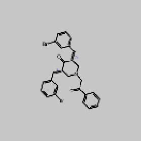 O=C1/C(=C\c2cccc(Br)c2)CN(CC(=O)c2ccccc2)C/C1=C\c1cccc(Br)c1